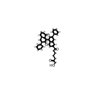 O=C(CO)CCCCC(=O)c1ccc2c(-c3c(O)c(-c4ccccc4)cc4ccccc34)c(O)c(-c3ccccc3)cc2c1